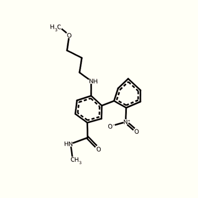 CNC(=O)c1ccc(NCCCOC)c(-c2ccccc2[N+](=O)[O-])c1